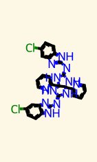 Clc1ccc2[nH]c(N=C3NC4(c5ccccn5)NC(=Nc5nc6cc(Cl)ccc6[nH]5)NC4(c4ccccn4)N3)nc2c1